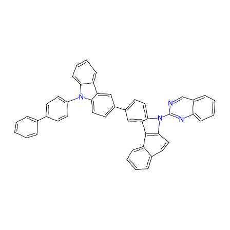 c1ccc(-c2ccc(-n3c4ccccc4c4cc(-c5ccc6c(c5)c5c7ccccc7ccc5n6-c5ncc6ccccc6n5)ccc43)cc2)cc1